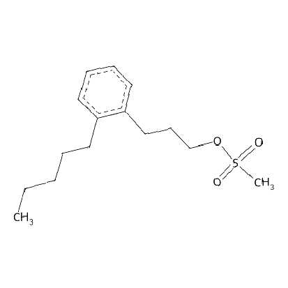 CCCCCc1ccccc1CCCOS(C)(=O)=O